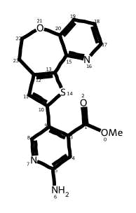 COC(=O)c1cc(N)ncc1-c1cc2c(s1)-c1ncccc1OCC2